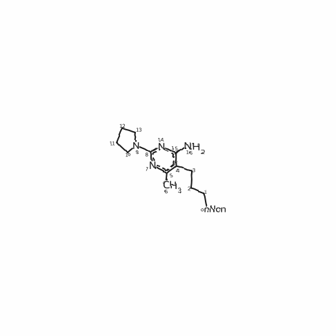 CCCCCCCCCCCCc1c(C)nc(N2CCCC2)nc1N